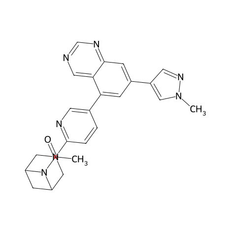 CC(=O)N1C2CC1CN(c1ccc(-c3cc(-c4cnn(C)c4)cc4ncncc34)cn1)C2